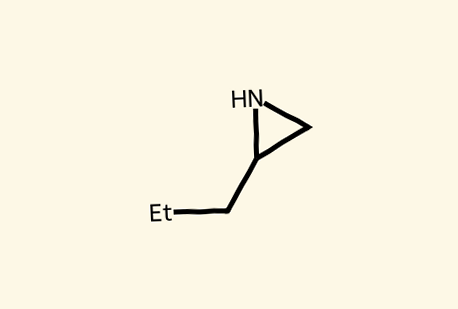 CCCC1CN1